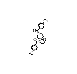 COc1ccc(C(=O)N2CCC3(CC2)OCCN3C(=O)c2ccc(OC)cc2)cc1